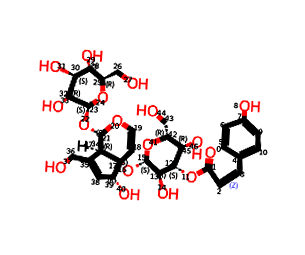 O=C(/C=C\c1ccc(O)cc1)O[C@@H]1[C@@H](O)[C@H](O[C@@]23C=CO[C@@H](O[C@@H]4O[C@H](CO)[C@@H](O)[C@H](O)[C@H]4O)[C@@H]2C(CO)=C[C@H]3O)O[C@H](CO)[C@H]1O